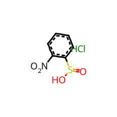 Cl.O=[N+]([O-])c1ccccc1S(=O)O